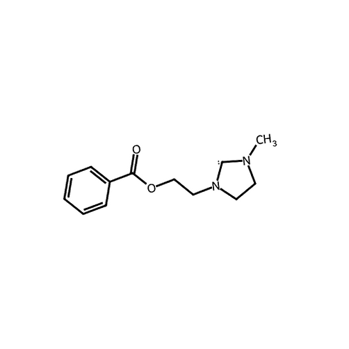 CN1[C]N(CCOC(=O)c2ccccc2)CC1